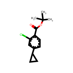 CC(C)(C)OC(=O)c1ccc(C2CC2)cc1Cl